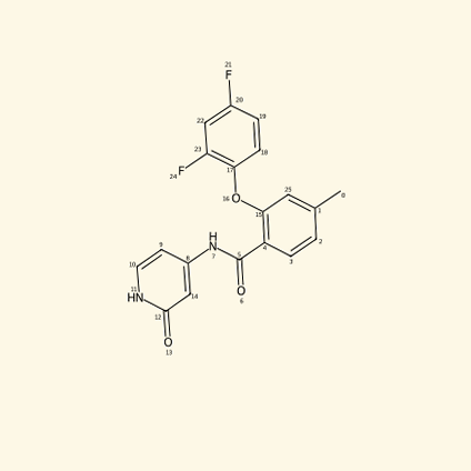 Cc1ccc(C(=O)Nc2cc[nH]c(=O)c2)c(Oc2ccc(F)cc2F)c1